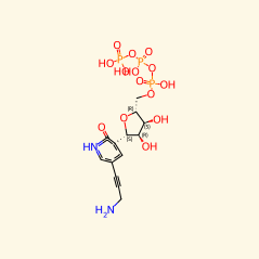 NCC#Cc1c[nH]c(=O)c([C@@H]2O[C@H](COP(=O)(O)OP(=O)(O)OP(=O)(O)O)[C@@H](O)[C@H]2O)c1